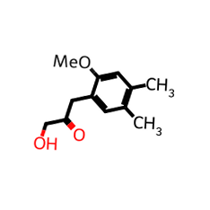 COc1cc(C)c(C)cc1CC(=O)CO